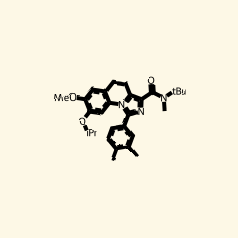 COc1cc2c(cc1OC(C)C)-n1c(-c3ccc(C)c(C)c3)nc(C(=O)N(C)C(C)(C)C)c1CC2